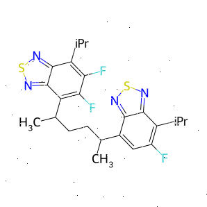 CC(C)c1c(F)cc(C(C)CCC(C)c2c(F)c(F)c(C(C)C)c3nsnc23)c2nsnc12